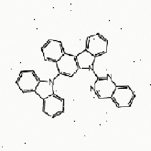 c1ccc2nc(-n3c4ccccc4c4c5ccccc5c(-n5c6ccccc6c6ccccc65)cc43)ncc2c1